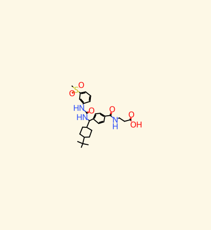 CC(C)(C)C1CCC(C(NC(=O)Nc2cccc(S(C)(=O)=O)c2)c2ccc(C(=O)NCCC(=O)O)cc2)CC1